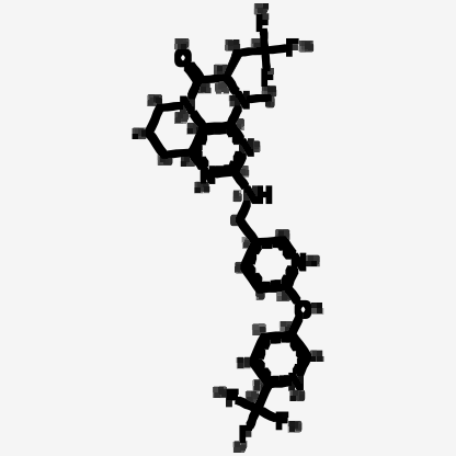 CN1c2nc(NCc3ccc(Oc4ccc(C(F)(F)F)nc4)nc3)nc3c2N(CCC3)C(=O)[C@H]1CC(F)(F)F